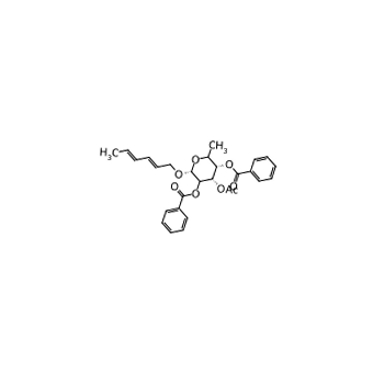 C/C=C/C=C/CO[C@@H]1OC(C)[C@H](OC(=O)c2ccccc2)[C@H](OC(C)=O)C1OC(=O)c1ccccc1